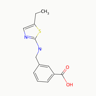 CCc1cnc([N]Cc2cccc(C(=O)O)c2)s1